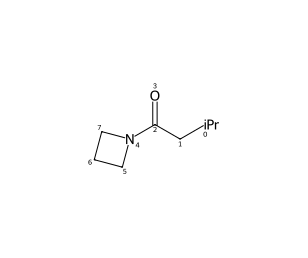 CC(C)CC(=O)N1CCC1